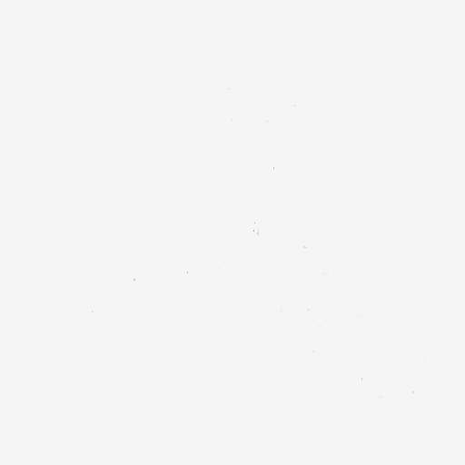 CC1(C)C(N(c2ccc(-c3ccc4ccccc4c3)cc2)c2ccc(-c3ccc4ccccc4c3)cc2)=Cc2c1ccc1ccccc21